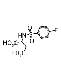 O=C(O)C[C@@H](NS(=O)(=O)c1ccc(F)cc1)C(=O)O